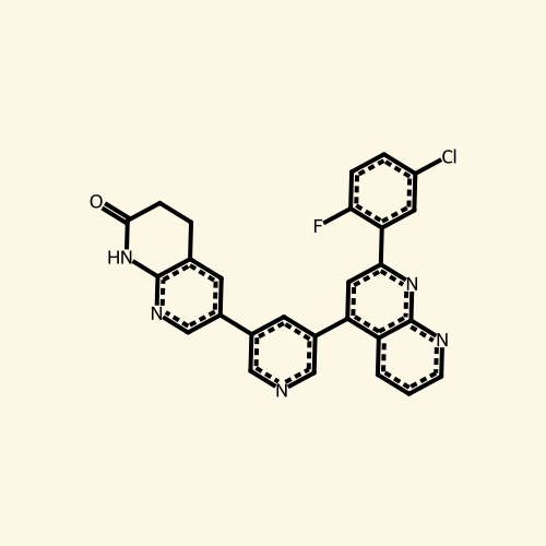 O=C1CCc2cc(-c3cncc(-c4cc(-c5cc(Cl)ccc5F)nc5ncccc45)c3)cnc2N1